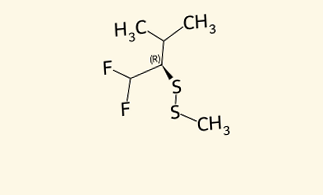 CSS[C@H](C(C)C)C(F)F